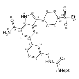 CCCCCCCC(=O)NCc1cccc(-c2cc(C(N)=O)c3[nH]cc(C4CCN(S(=O)(=O)CC)CC4)c3c2)c1